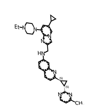 CCN1CCN(c2cc(C3CC3)cn3cc(CNc4ccc5ccc([C@H]6C[C@@H]6c6nccc(C)n6)nc5c4)nc23)CC1